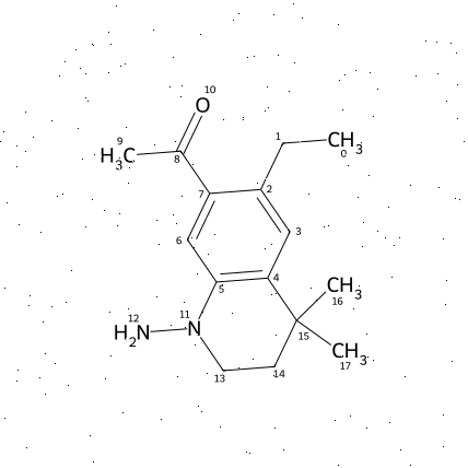 CCc1cc2c(cc1C(C)=O)N(N)CCC2(C)C